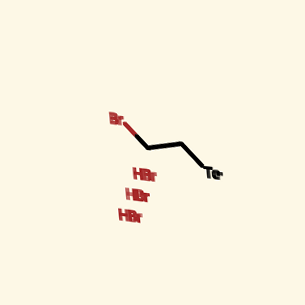 Br.Br.Br.BrCC[Te]